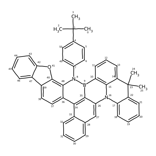 CC(C)(C)c1ccc(N2B3c4cccc5c4N(c4ccccc4C5(C)C)c4cc5ccccc5c(c43)-c3ccc4c(oc5ccccc54)c32)cc1